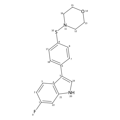 Fc1ccc2c(-c3ccc(SN4CCOCC4)cc3)c[nH]c2c1